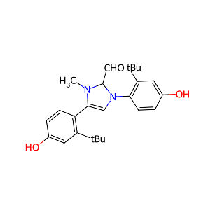 CN1C(c2ccc(O)cc2C(C)(C)C)=CN(c2ccc(O)cc2C(C)(C)C)C1C=O